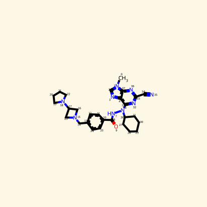 Cn1cnc2c(N(NC(=O)c3ccc(CN4CC(N5CCCC5)C4)cc3)C3CCCCC3)nc(C#N)nc21